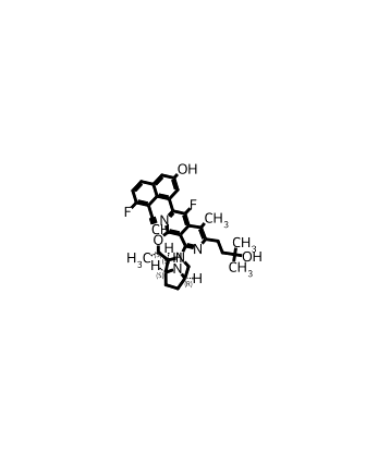 C#Cc1c(F)ccc2cc(O)cc(-c3nc4c5c(nc(CCC(C)(C)O)c(C)c5c3F)N3C[C@H]5CC[C@H](N5)[C@H]3[C@H](C)O4)c12